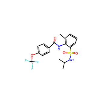 Cc1cccc(S(=O)(=O)NC(C)C)c1NC(=O)c1ccc(OC(F)(F)F)cc1